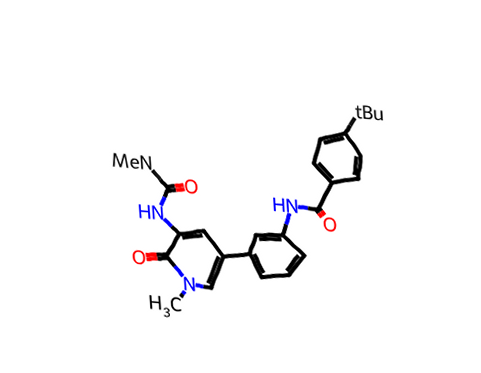 CNC(=O)Nc1cc(-c2cccc(NC(=O)c3ccc(C(C)(C)C)cc3)c2)cn(C)c1=O